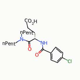 CCCCCN(CCCCC)C(=O)[C@H](CCC(=O)O)NC(=O)c1ccc(Cl)cc1